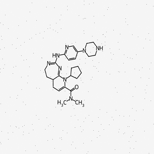 CN(C)C(=O)C1=CCC2CCN=C(Nc3ccc(N4CCNCC4)cn3)N=C2N1C1CCCC1